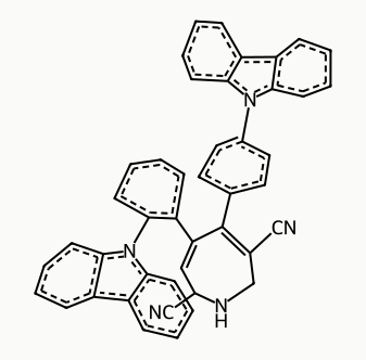 N#CC1=C(c2ccc(-n3c4ccccc4c4ccccc43)cc2)C(c2ccccc2-n2c3ccccc3c3ccccc32)=CC(C#N)NC1